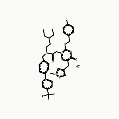 CCN(CC)CCN(Cc1ccc(-c2ccc(C(F)(F)F)cc2)cc1)C(=O)Cn1cc(Cc2cnn(C)c2)c(=O)nc1SCc1ccc(F)cc1.Cl